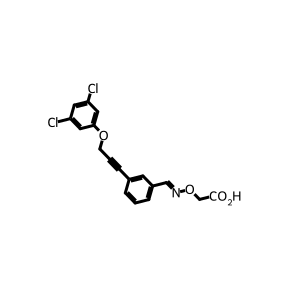 O=C(O)CON=Cc1cccc(C#CCOc2cc(Cl)cc(Cl)c2)c1